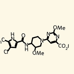 COc1nc(C(=O)O)cc(N2CCC(NC(=O)c3cc(Cl)c(C)[nH]3)C(OC)C2)n1